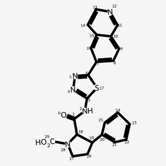 O=C(Nc1nnc(-c2ccc3cnccc3c2)s1)C1C(c2ccccc2)CCN1C(=O)O